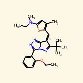 CCOc1ccccc1-c1nnc2/c(=C\c3sc(N(C)CC)cc3C)c(C(C)(C)C)nn12